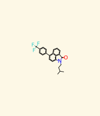 CC(C)CCN1C(=O)c2cccc3c(-c4ccc(C(F)(F)F)cc4)ccc1c23